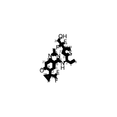 C=C[C@@H](Nc1nc(C)nc2c1=CC(C1(C(F)F)CC1)C(=O)C=2)c1cc(C(F)(F)CO)cs1